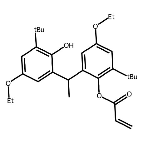 C=CC(=O)Oc1c(C(C)c2cc(OCC)cc(C(C)(C)C)c2O)cc(OCC)cc1C(C)(C)C